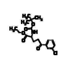 CCOC(=O)C(CCC(=O)c1cccc(Cl)c1)NC(=O)OC(C)(C)C